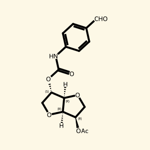 CC(=O)O[C@@H]1CO[C@H]2[C@@H]1OC[C@@H]2OC(=O)Nc1ccc(C=O)cc1